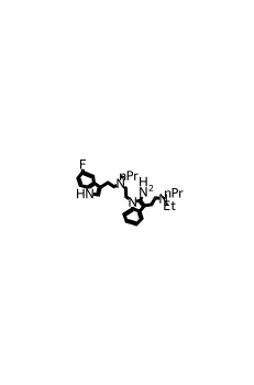 CCCN(CC)CCc1c(N)n(CCN(CCC)CCc2c[nH]c3ccc(F)cc23)c2ccccc12